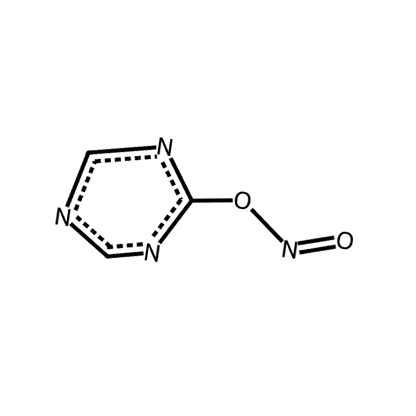 O=NOc1ncncn1